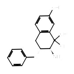 CC1(C)c2cc(O)ccc2C[C@@H](Sc2ccccc2)[C@@H]1N